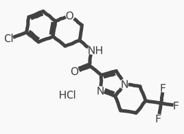 Cl.O=C(NC1COc2ccc(Cl)cc2C1)c1cn2c(n1)CCC(C(F)(F)F)C2